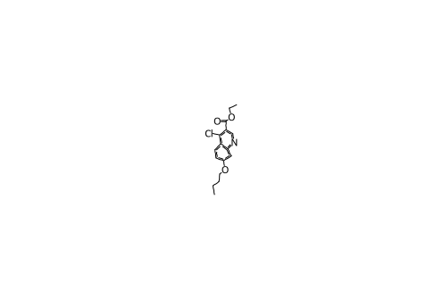 CCCCOc1ccc2c(Cl)c(C(=O)OCC)cnc2c1